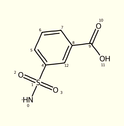 [NH]S(=O)(=O)c1cccc(C(=O)O)c1